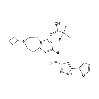 O=C(Nc1ccc2c(c1)CCN(C1CCC1)CC2)c1cc(-c2ccco2)[nH]n1.O=C(O)C(F)(F)F